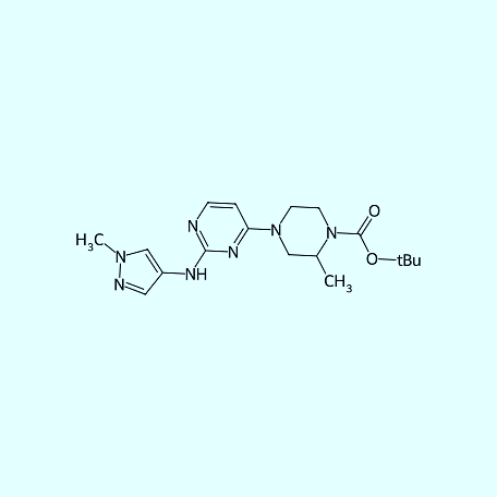 CC1CN(c2ccnc(Nc3cnn(C)c3)n2)CCN1C(=O)OC(C)(C)C